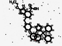 CCOc1nc2c(Cc3ccc(-c4ccccc4-c4nnnn4C(c4ccccc4)(c4ccccc4)c4ccccc4)cc3)ccc(C(=O)O)c2[nH]1